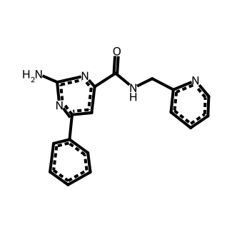 Nc1nc(C(=O)NCc2ccccn2)cc(-c2ccccc2)n1